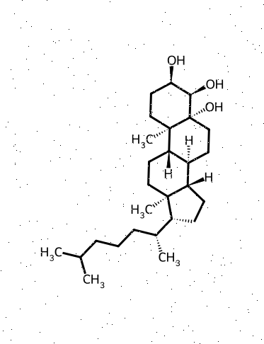 CC(C)CCC[C@@H](C)[C@H]1CC[C@H]2[C@@H]3CC[C@]4(O)[C@H](O)[C@H](O)CC[C@]4(C)[C@H]3CC[C@]12C